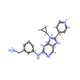 NCc1cccc(Nc2ncc3nc(-c4ccncc4)n(C4CC4)c3n2)c1